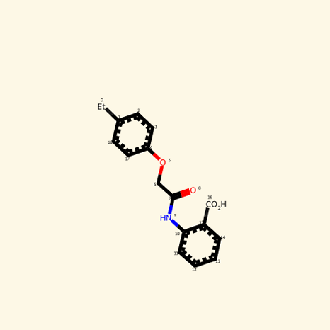 CCc1ccc(OCC(=O)Nc2ccccc2C(=O)O)cc1